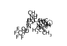 CCNC(=O)O[C@H](C[C@H](C(C)C)N(C)C(=O)[C@@H](NC(=O)[C@]1(C)CCCCN1C)[C@@H](C)CC)c1nc(C(=O)Oc2c(F)c(F)c(F)c(F)c2F)cs1